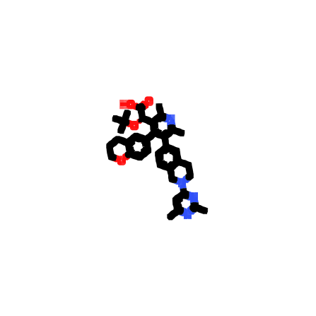 Cc1cc(N2CCc3cc(-c4c(C)nc(C)c([C@H](OC(C)(C)C)C(=O)O)c4-c4ccc5c(c4)CCCO5)ccc3C2)nc(C)n1